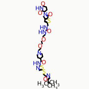 CC(C)(C)c1cnc(CSc2cnc(NC(=O)C3CCN(CCOCCOCCNC(=O)NCc4cc5c(s4)C(=O)N(C4CCC(=O)NC4=O)C5)CC3)s2)o1